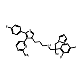 Nc1nccc(-c2c(-c3ccc(F)cc3)ncn2CCCNCC(O)(Cn2cncn2)c2ccc(F)cc2F)n1